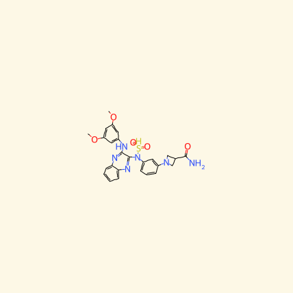 COc1cc(Nc2nc3ccccc3nc2N(c2cccc(N3CC(C(N)=O)C3)c2)[SH](=O)=O)cc(OC)c1